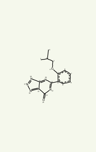 CC(C)COc1ccccc1C1=NC(=O)C2=NN=NC2=N1